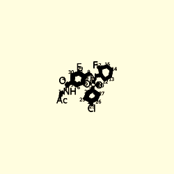 CC(=O)CNC(=O)c1ccc(CN(C2CCCCC2F)S(=O)(=O)c2ccc(Cl)cc2)c(F)c1